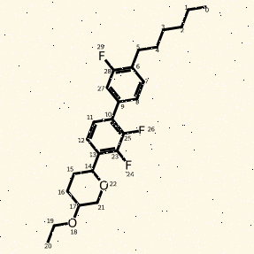 CCCCCCc1ccc(-c2ccc(C3CCC(OCC)CO3)c(F)c2F)cc1F